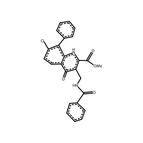 COC(=O)c1[nH]c2c(-c3ccccc3)c(Cl)ccc2c(=O)c1CNC(=O)c1ccccc1